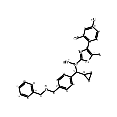 CCCN(c1nc(-c2ccc(Cl)cc2Cl)c(C)s1)C(c1ccc(COCc2ccccc2)cc1)C1CC1